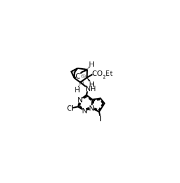 CCOC(=O)[C@@H]1[C@@H](Nc2nc(Cl)nn3c(I)ccc23)C23CC[C@H]1C(C2)C3